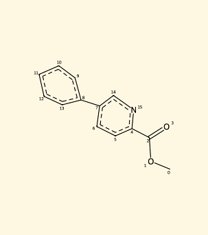 COC(=O)c1ccc(-c2ccccc2)cn1